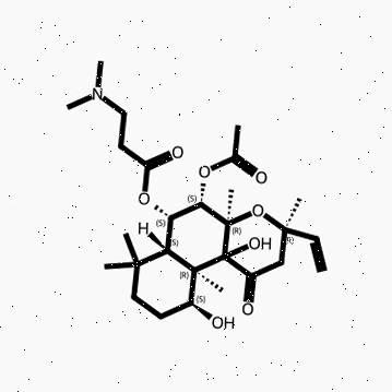 C=C[C@@]1(C)CC(=O)C2(O)[C@@]3(C)[C@@H](O)CCC(C)(C)[C@@H]3[C@H](OC(=O)CCN(C)C)[C@H](OC(C)=O)[C@@]2(C)O1